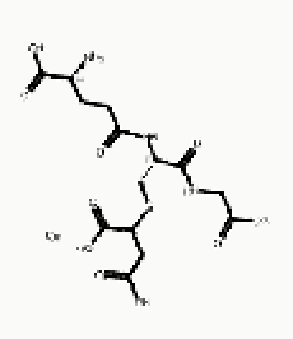 N[C@@H](CCC(=O)N[C@@H](CSC(CC(=O)O)C(=O)O)C(=O)NCC(=O)O)C(=O)O.[Cu]